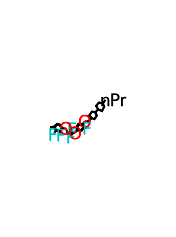 CCCC1CCC(C2CCC(COc3ccc(OC(F)(F)COc4ccc(C)c(F)c4F)cc3F)CC2)CC1